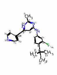 Cc1nc(Nc2ccc(C(C)(C)C)c(F)c2)cc(-c2ccncc2)n1